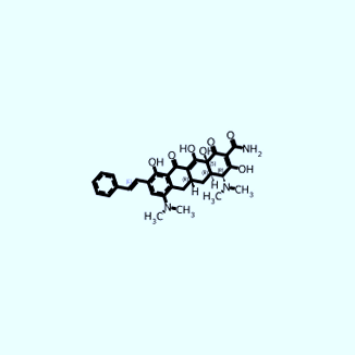 CN(C)c1cc(/C=C/c2ccccc2)c(O)c2c1C[C@H]1C[C@@H]3[C@@H](N(C)C)C(O)=C(C(N)=O)C(=O)[C@@]3(O)C(O)=C1C2=O